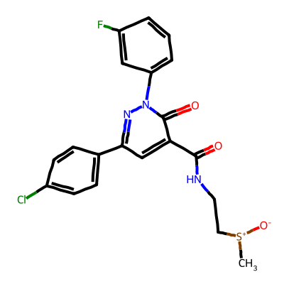 C[S+]([O-])CCNC(=O)c1cc(-c2ccc(Cl)cc2)nn(-c2cccc(F)c2)c1=O